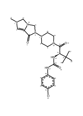 CN1C=C2C(=O)N(N3CCN(C(=O)[C@H](NC(=O)Nc4ccc(Cl)cc4)C(C)(C)C)CC3)CN2C1